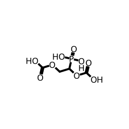 O=C(O)OCC(OC(=O)O)P(=O)(O)O